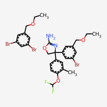 CCOCc1cc(Br)cc(Br)c1.CCOCc1cc(Br)cc(C2(c3ccc(OC(F)F)c(C)c3)COC(N)=N2)c1